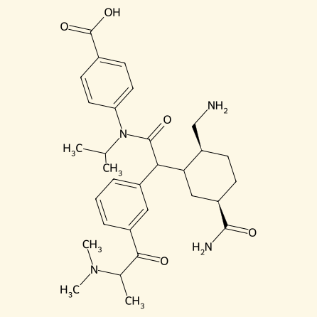 CC(C(=O)c1cccc(C(C(=O)N(c2ccc(C(=O)O)cc2)C(C)C)C2C[C@H](C(N)=O)CC[C@@H]2CN)c1)N(C)C